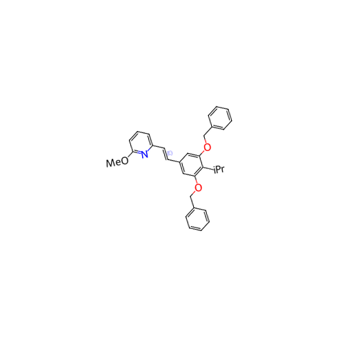 COc1cccc(/C=C/c2cc(OCc3ccccc3)c(C(C)C)c(OCc3ccccc3)c2)n1